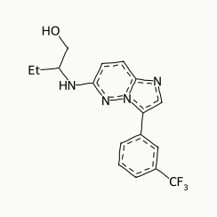 CCC(CO)Nc1ccc2ncc(-c3cccc(C(F)(F)F)c3)n2n1